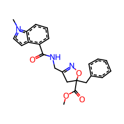 COC(=O)C1(Cc2ccccc2)CC(CNC(=O)c2cccc3c2ccn3C)=NO1